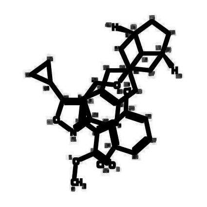 COC(=O)c1ccc2c(c1)CN(C1[C@@H]3CC[C@H]1CC(OCc1c(-c4c(Cl)cccc4Cl)noc1C1CC1)C3)C2